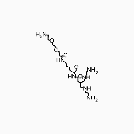 NCCNCC(CNCCN)CC(=O)N[C@H](C=O)CCCCNC(=O)CCOCCOCCN